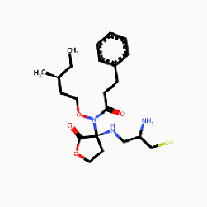 CC[C@H](C)CCON(C(=O)CCc1ccccc1)[C@]1(NCC(N)CS)CCOC1=O